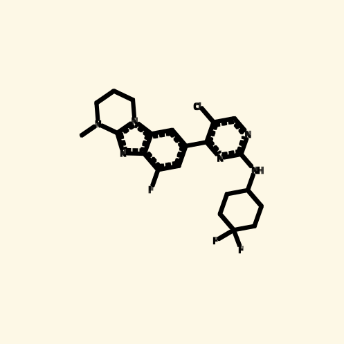 CN1CCCn2c1nc1c(F)cc(-c3nc(NC4CCC(F)(F)CC4)ncc3Cl)cc12